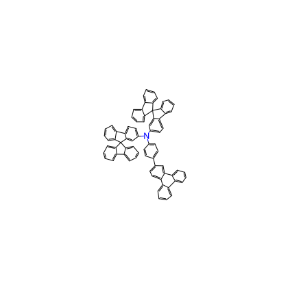 c1ccc2c(c1)-c1ccccc1C21c2ccccc2-c2ccc(N(c3ccc(-c4ccc5c6ccccc6c6ccccc6c5c4)cc3)c3ccc4c(c3)C3(c5ccccc5-c5ccccc53)c3ccccc3-4)cc21